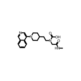 CNC(=O)CN(CCC1CCN(c2cncc3ccccc23)CC1)C(=O)O